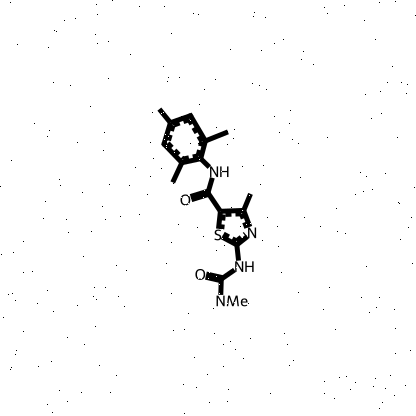 CNC(=O)Nc1nc(C)c(C(=O)Nc2c(C)cc(C)cc2C)s1